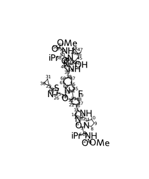 COC(=O)NC(C(=O)N1CCC[C@H]1c1ncc(-c2cc(F)c3c(c2)OC(c2cnc(C4CC4)s2)n2c-3cc3cc(-c4cnc([C@@]5(O)CC6(C)CC6N5C(=O)[C@@H](NC(=O)OC)C(C)C)[nH]4)ccc32)[nH]1)C(C)C